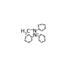 CCN(c1ccccc1)[N+](c1ccccc1)c1ccccc1